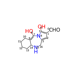 O=Cc1cc2n(c1O)C(O)=C1CCCCC1NC2